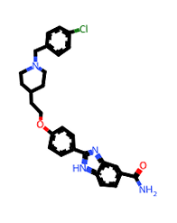 NC(=O)c1ccc2[nH]c(-c3ccc(OCCC4CCN(Cc5ccc(Cl)cc5)CC4)cc3)nc2c1